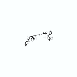 CC(C)n1ccc2c(N3CCC(=O)NC3=O)cc(C(=O)NCCOCCOCCOc3cc4nccc(Nc5ccc6scnc6c5)c4cc3S(=O)(=O)C(C)(C)C)cc21